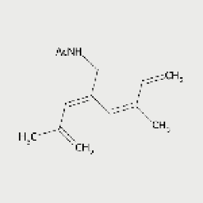 C=C/C(C)=C\C(=C/C(=C)C)CNC(C)=O